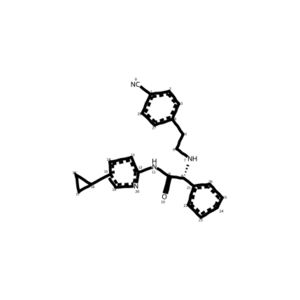 N#Cc1ccc(CCN[C@@H](C(=O)Nc2ccc(C3CC3)cn2)c2ccccc2)cc1